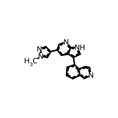 Cn1cc(-c2cnc3[nH]cc(-c4cccc5cnccc45)c3c2)cn1